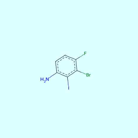 Nc1ccc(F)c(Br)c1I